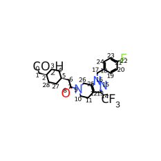 O=C(O)C[C@H]1CC[C@@H](CC(=O)N2CCc3c(C(F)(F)F)nn(Cc4ccc(F)cc4)c3C2)CC1